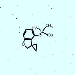 CC(C)(C)[Si](C)(C)Oc1cccc2c1C1(CC1)CO2